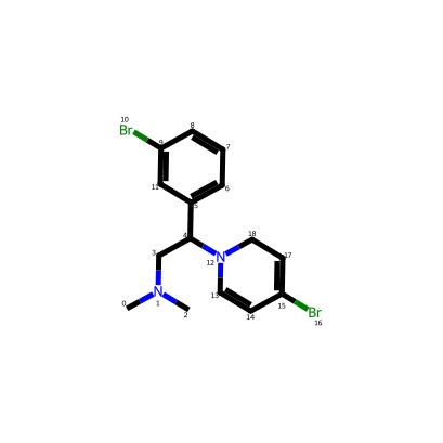 CN(C)CC(c1cccc(Br)c1)N1C=CC(Br)=CC1